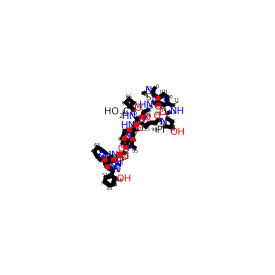 Cc1ncsc1-c1ccc([C@H](C)NC(=O)[C@@H]2C[C@@H](O)CN2C(=O)C(c2cc(OCCN3CCN(CCOc4cc(N5C6CCC5CN(c5cc(-c7ccccc7O)nnc5NC(=O)OCc5ccc(NC(=O)[C@H](CCCNC(N)=O)NC(=O)C7(C(=O)O)CCC7)cc5)C6)ccn4)C(C)C3)no2)C(C)C)cc1